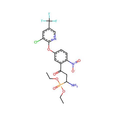 CCOP(=O)(OCC)C(N)CC(=O)c1cc(Oc2ncc(C(F)(F)F)cc2Cl)ccc1[N+](=O)[O-]